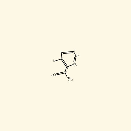 Cc1c[c]nnc1C(N)=O